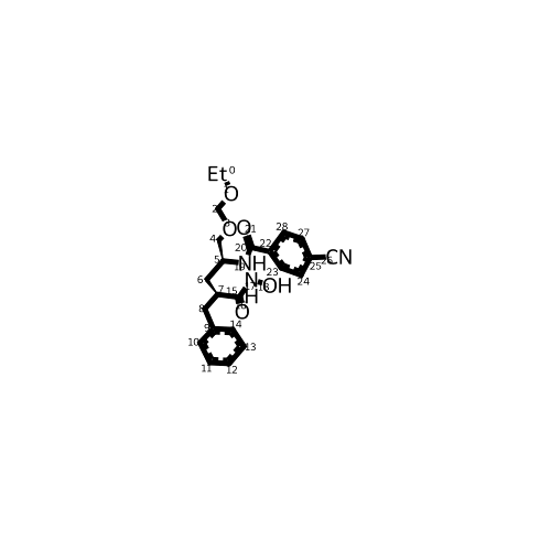 CCOCOC[C@H](C[C@H](Cc1ccccc1)C(=O)NO)NC(=O)c1ccc(C#N)cc1